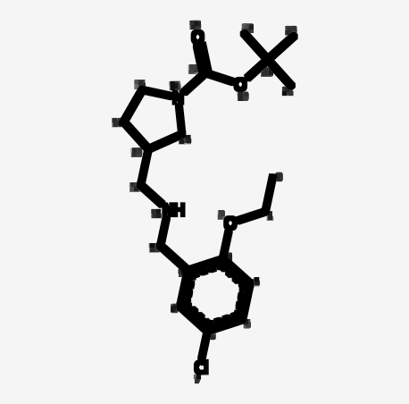 CCOc1ccc(Cl)cc1CNCC1CCN(C(=O)OC(C)(C)C)C1